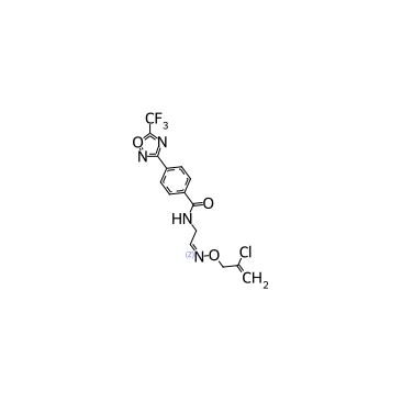 C=C(Cl)CO/N=C\CNC(=O)c1ccc(-c2noc(C(F)(F)F)n2)cc1